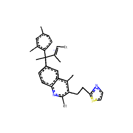 CC/C=C(\C)C(C)(c1ccc2nc(CC)c(CCc3nccs3)c(C)c2c1)c1ccc(C)cc1C